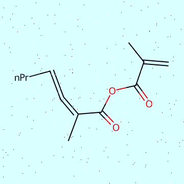 C=C(C)C(=O)OC(=O)C(C)=C=CCCC